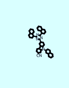 N#Cc1ccc2c3cc(-c4nc(-c5cccc6ccccc56)nc(-c5cccc6ccccc56)n4)ccc3n(-c3ccc4ccccc4c3)c2c1